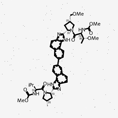 COC[C@H]1C[C@@H](c2nc3ccc4cc(-c5ccc6c(ccc7nc([C@@H]8C[C@H](C)CN8C(=O)[C@@H](NC(=O)OC)C(C)C)[nH]c76)c5)ccc4c3[nH]2)N(C(=O)[C@@H](NC(=O)OC)[C@@H](C)OC)C1